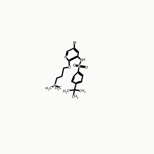 CN(C)CCCOc1ncc(Br)cc1NS(=O)(=O)c1ccc(C(C)(C)C)cc1